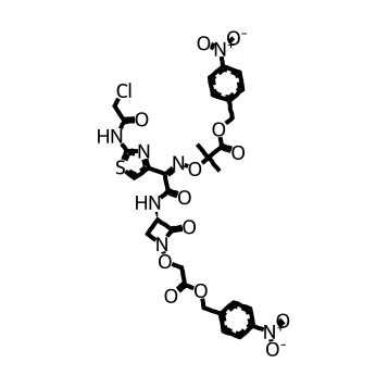 CC(C)(O/N=C(\C(=O)N[C@H]1CN(OCC(=O)OCc2ccc([N+](=O)[O-])cc2)C1=O)c1csc(NC(=O)CCl)n1)C(=O)OCc1ccc([N+](=O)[O-])cc1